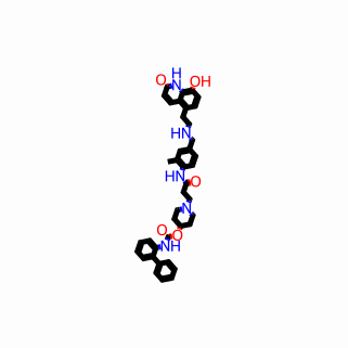 Cc1cc(CNCCc2ccc(O)c3[nH]c(=O)ccc23)ccc1NC(=O)CCN1CCC(OC(=O)Nc2ccccc2-c2ccccc2)CC1